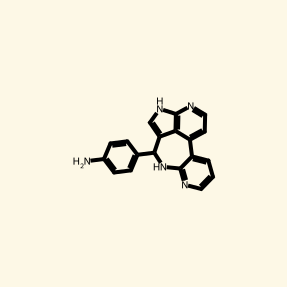 Nc1ccc(C2Nc3ncccc3-c3ccnc4[nH]cc2c34)cc1